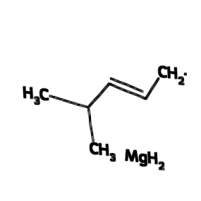 [CH2]C=CC(C)C.[MgH2]